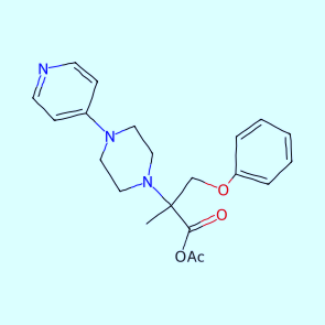 CC(=O)OC(=O)C(C)(COc1ccccc1)N1CCN(c2ccncc2)CC1